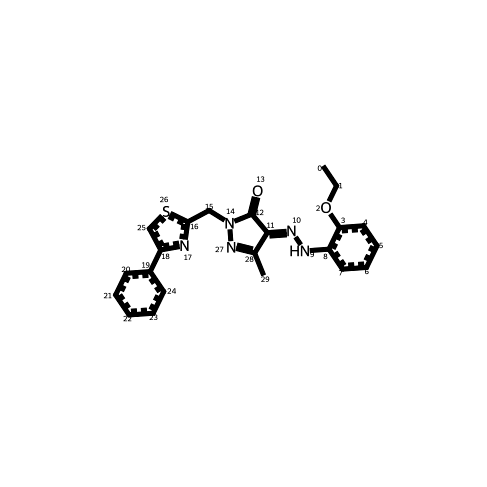 CCOc1ccccc1N/N=C1/C(=O)N(Cc2nc(-c3ccccc3)cs2)N=C1C